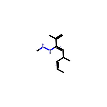 C=C(C)/C(=C/C(C)/C=C\C)NNC